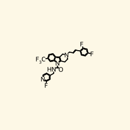 O=C(NCc1ccnc(F)c1)n1c2c(c3ccc(C(F)(F)F)cc31)CN(C/C=C/c1ccc(F)cc1F)CC2